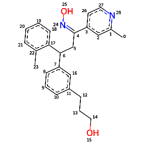 Cc1cc(/C(CC(c2cccc(CCCO)c2)c2ccccc2C)=N\O)ccn1